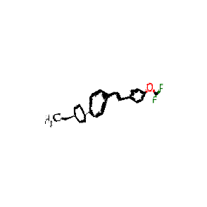 CC[C@H]1CC[C@H](c2ccc(C=Cc3ccc(OC(F)F)cc3)cc2)CC1